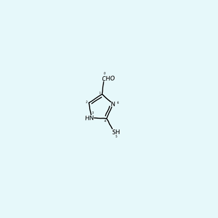 O=Cc1c[nH]c(S)n1